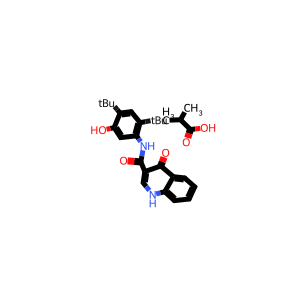 CC(C)(C)c1cc(C(C)(C)C)c(NC(=O)c2c[nH]c3ccccc3c2=O)cc1O.CC(C)C(=O)O